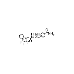 NC(=O)c1ccc(C[C@H](N)CNC(=O)C[C@H](c2ccccc2)C2(C(F)(F)F)CC2)cc1